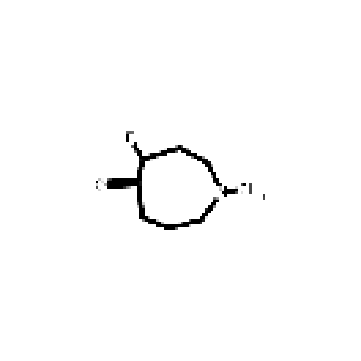 CN1CCCC(=O)C(F)CC1